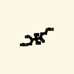 CCCCCCCCSOC(=O)C(O)(O)C(CCC)SCCCCCCCC